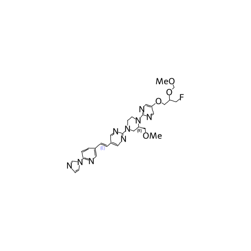 COCOC(CF)COc1cnc(N2CCN(c3ncc(/C=C/c4ccc(-n5ccnc5)nc4)cn3)C[C@@H]2COC)nc1